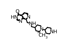 C[C@@H]1CC(CNCc2nccc3c(=O)[nH]cnc23)CCN1C1CCNCC1